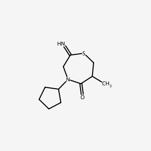 CC1CSC(=N)CN(C2CCCC2)C1=O